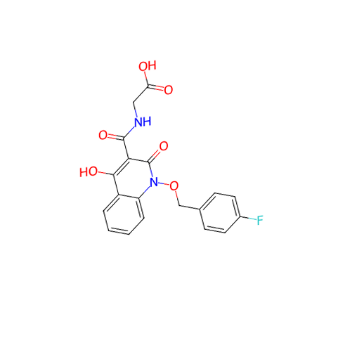 O=C(O)CNC(=O)c1c(O)c2ccccc2n(OCc2ccc(F)cc2)c1=O